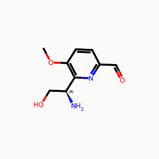 COc1ccc(C=O)nc1[C@@H](N)CO